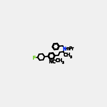 CC#N.CCCN(Cc1ccccc1)C(C)CCc1ccc(C2CCC(F)CC2)cc1